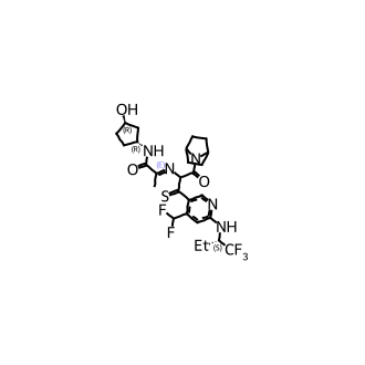 CC[C@H](Nc1cc(C(F)F)c(C(=S)C(/N=C(\C)C(=O)N[C@@H]2CC[C@@H](O)C2)C(=O)N2C3CCC2CC3)cn1)C(F)(F)F